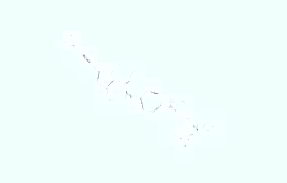 CN(C)C1CCN(c2ccc(N3CCc4cc(C#CC5CC5)sc4C3=O)cc2)C1